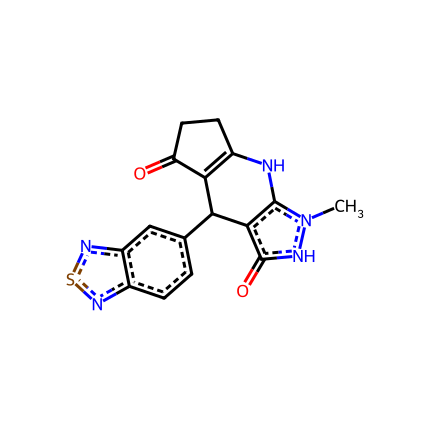 Cn1[nH]c(=O)c2c1NC1=C(C(=O)CC1)C2c1ccc2nsnc2c1